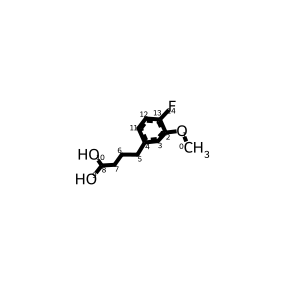 COc1cc(CCCC(O)O)ccc1F